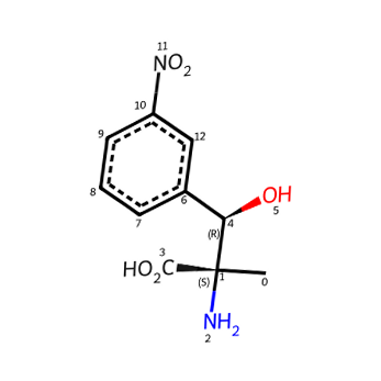 C[C@@](N)(C(=O)O)[C@H](O)c1cccc([N+](=O)[O-])c1